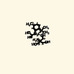 Cc1ccc(C(C)(C)C)c(OP(O)O)c1.NC(CO)(CO)CO